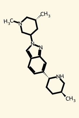 C[C@@H]1CC(n2cc3ccc([C@H]4CC[C@H](C)CN4)cc3n2)CN(C)C1